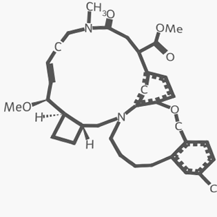 COC(=O)C1CC(=O)N(C)CC/C=C/[C@H](OC)[C@@H]2CC[C@H]2CN2CCCCc3cc(Cl)ccc3COc3ccc1cc32